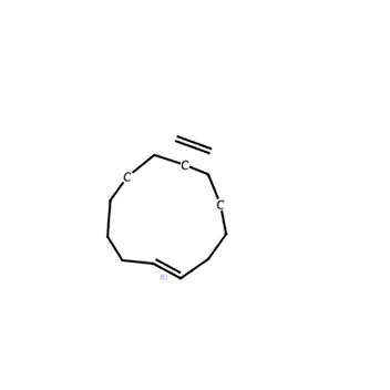 C1=C/CCCCCCCCCC/1.C=C